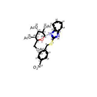 CC(=O)OCC1O[C@@H](n2c(SCc3ccc([N+](=O)[O-])cc3)nc3ccccc32)C(OC(C)=O)[C@@H](OC(C)=O)[C@@H]1OC(C)=O